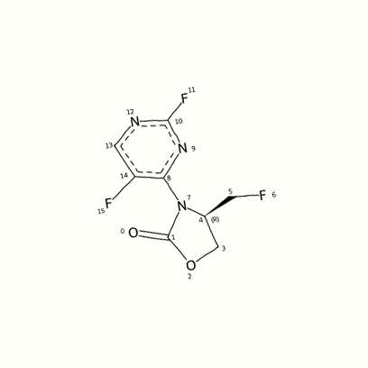 O=C1OC[C@H](CF)N1c1nc(F)ncc1F